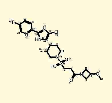 COC1CN(C(=O)CCS(=O)(=O)N2CC[C@@H](c3[nH]c(-c4ccc(F)cn4)nc3Cl)[C@@H](C)C2)C1